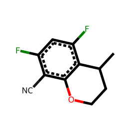 CC1CCOc2c(C#N)c(F)cc(F)c21